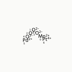 [Mn+2].[O-2].[O-2].[O-2].[O-2].[Pd+2].[Pt+4]